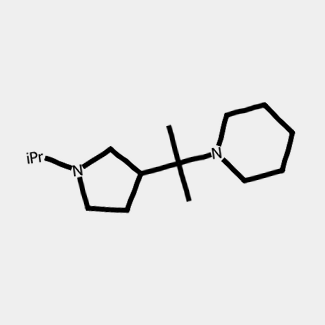 CC(C)N1CCC(C(C)(C)N2CCCCC2)C1